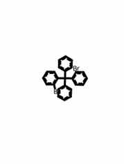 Brc1ccccc1C(c1ccccc1)(c1ccccc1)c1ccccc1Br